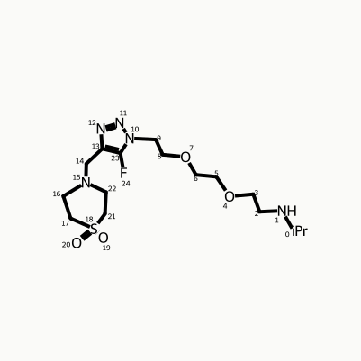 CC(C)NCCOCCOCCn1nnc(CN2CCS(=O)(=O)CC2)c1F